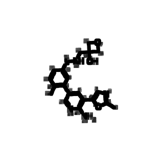 Cc1ncc(-c2cc(-c3cc(SNCC4(O)COC4)ccc3C)cnc2N)o1